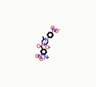 COc1cc(N(C)C)c([N+](=O)[O-])cc1C(=O)N1CCN(c2ccc([N+](=O)[O-])cc2)C(C)C1